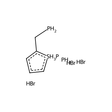 Br.Br.Br.P.P.PCc1cccs1